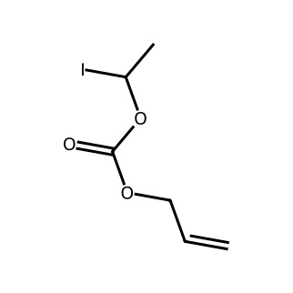 C=CCOC(=O)OC(C)I